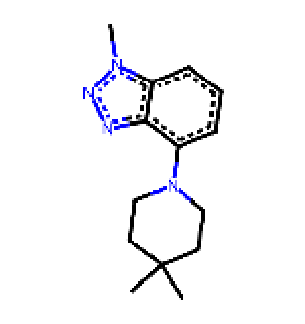 Cn1nnc2c(N3CCC(C)(C)CC3)cccc21